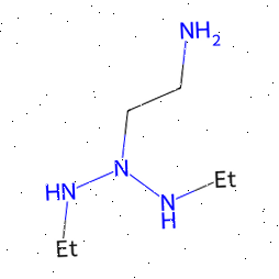 CCNN(CCN)NCC